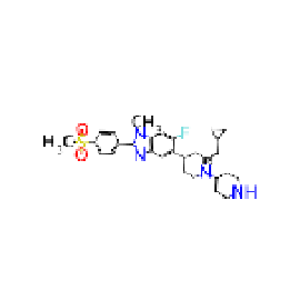 Cn1c(-c2ccc(S(C)(=O)=O)cc2)nc2cc(C3CCN(C4CCNCC4)[C@H](CC4CC4)C3)c(F)cc21